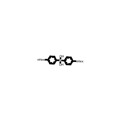 CCCCCCc1ccc([Si](O)(O)c2ccc(CCCCCC)cc2)cc1